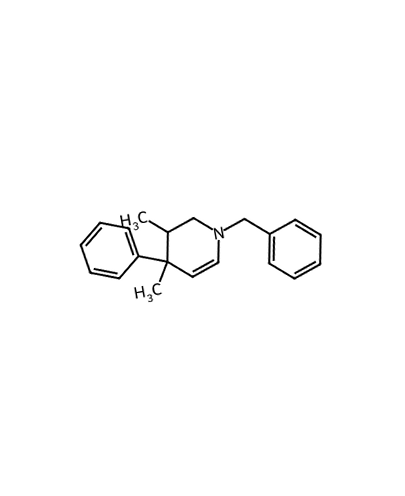 CC1CN(Cc2ccccc2)C=CC1(C)c1ccccc1